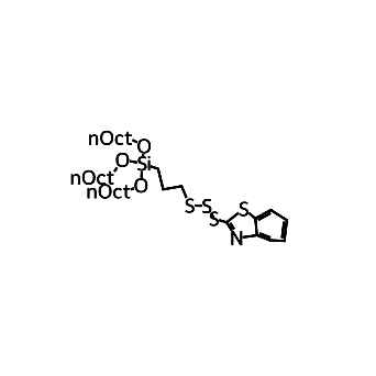 CCCCCCCCO[Si](CCCSSSc1nc2ccccc2s1)(OCCCCCCCC)OCCCCCCCC